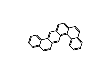 c1ccc2c(c1)ccc1cc3c(ccc4ccc5ccccc5c43)cc12